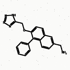 NCc1ccc2c(-c3ccccc3)c(OCc3nnn[nH]3)ccc2c1